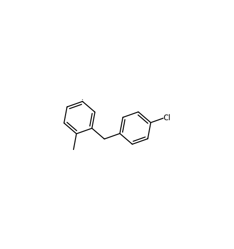 Cc1cc[c]cc1Cc1ccc(Cl)cc1